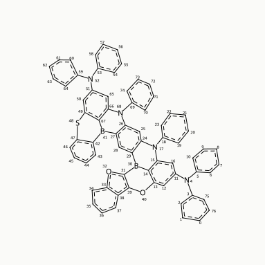 c1ccc(N(c2ccccc2)c2cc3c4c(c2)N(c2ccccc2)c2cc5c(cc2B4c2oc4ccccc4c2O3)B2c3ccccc3Sc3cc(N(c4ccccc4)c4ccccc4)cc(c32)N5c2ccccc2)cc1